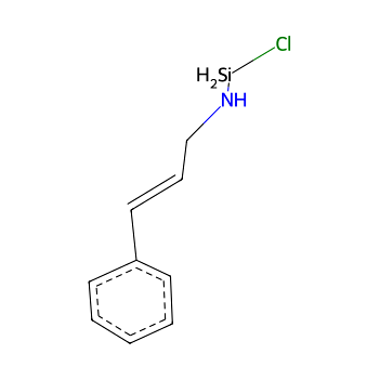 Cl[SiH2]NCC=Cc1ccccc1